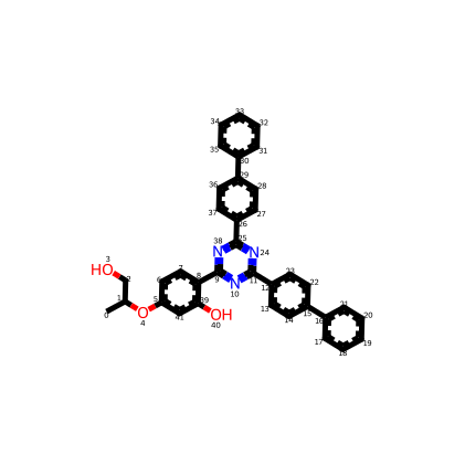 CC(CO)Oc1ccc(-c2nc(-c3ccc(-c4ccccc4)cc3)nc(-c3ccc(-c4ccccc4)cc3)n2)c(O)c1